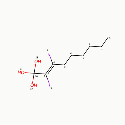 CCCCCCC(I)=C(I)C(O)(O)O